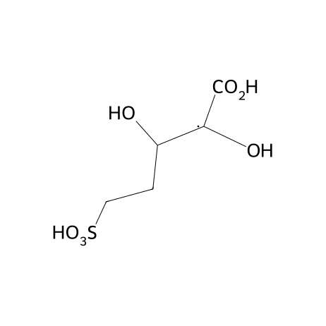 O=C(O)[C](O)C(O)CCS(=O)(=O)O